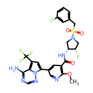 COc1ncc(-c2cc(C(F)(F)F)c3c(N)ncnn23)cc1C(=O)N[C@@H]1CN(S(=O)(=O)Cc2cccc(F)c2)C[C@@H]1F